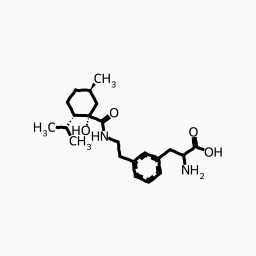 CC(C)[C@@H]1CC[C@@H](C)C[C@@]1(O)C(=O)NCCc1cccc(CC(N)C(=O)O)c1